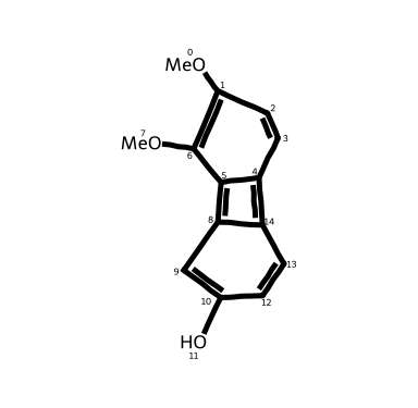 COc1ccc2c(c1OC)=c1cc(O)ccc1=2